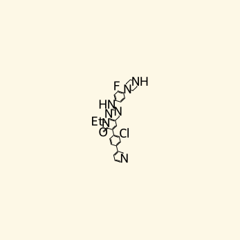 CCn1c(=O)c(-c2ccc(-c3cccnc3)cc2Cl)cc2cnc(Nc3ccc(N4CCNCC4)c(F)c3)nc21